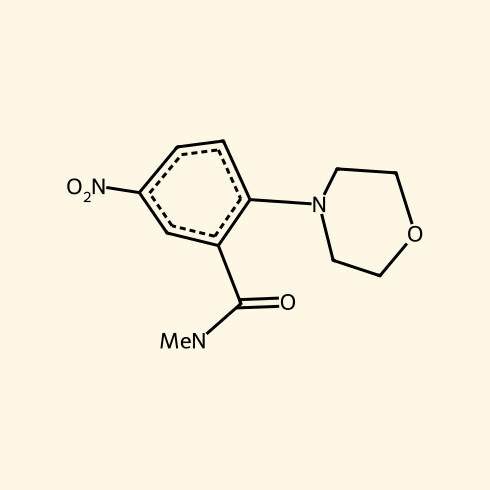 CNC(=O)c1cc([N+](=O)[O-])ccc1N1CCOCC1